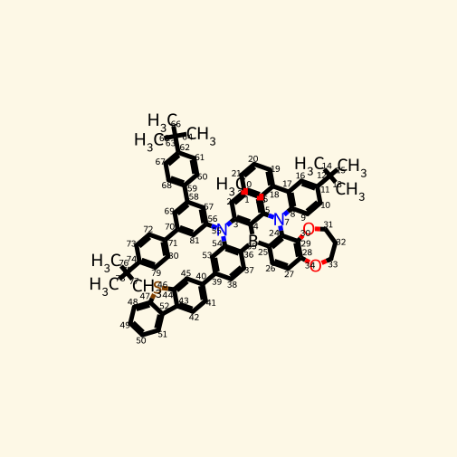 Cc1cc2c3c(c1)N(c1ccc(C(C)(C)C)cc1-c1ccccc1)c1c(ccc4c1OCCCO4)B3c1ccc(-c3ccc4c(c3)sc3ccccc34)cc1N2c1cc(-c2ccc(C(C)(C)C)cc2)cc(-c2ccc(C(C)(C)C)cc2)c1